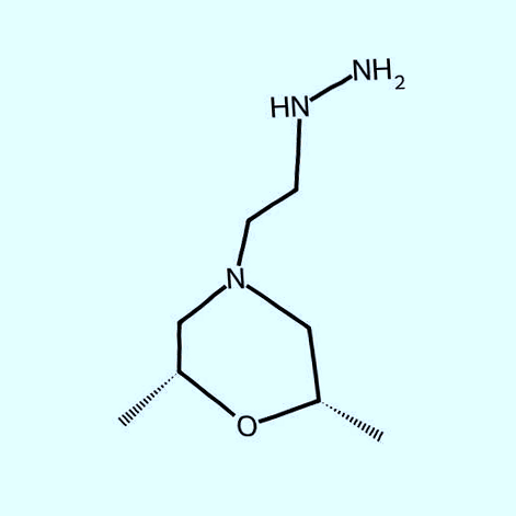 C[C@@H]1CN(CCNN)C[C@H](C)O1